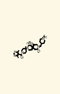 CCCCC1CN(CC2CCN(C(C)=O)CC2)C(=O)CC12CCN(C1(C)CCN(C(=O)c3c(C)ncnc3C)CC1)CC2